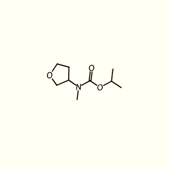 CC(C)OC(=O)N(C)C1CCOC1